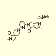 CNCc1nc(C)cc2c1CN(c1cccc(N3CCC4(CCN(C)C4=O)CC3)n1)C2=O